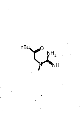 CCCCC(=O)CN(C)C(=N)N